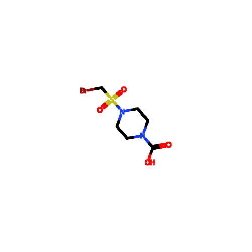 O=C(O)N1CCN(S(=O)(=O)CBr)CC1